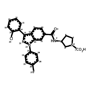 O=C(N[C@H]1CCN(C(=O)O)C1)c1ccc2c(-c3ccccc3Cl)nn(-c3ccc(F)cc3)c2c1